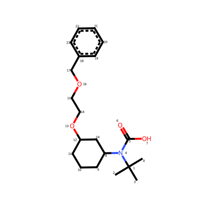 CC(C)(C)N(C(=O)O)C1CCCC(OCCOCc2ccccc2)C1